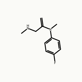 C=C(CNC)N(C)c1ccc(F)cc1